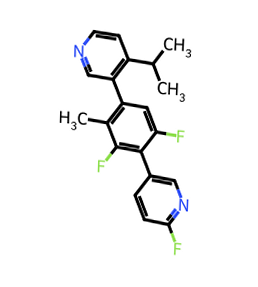 Cc1c(-c2cnccc2C(C)C)cc(F)c(-c2ccc(F)nc2)c1F